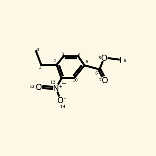 CCc1ccc(C(=O)OI)cc1[N+](=O)[O-]